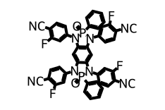 [C-]#[N+]c1ccc(N2c3cc4c(cc3N(c3ccc(C#N)c(F)c3)P2(=O)c2ccccc2)N(c2ccc(C#N)c(F)c2)P(=O)(c2ccccc2)N4c2ccc([N+]#[C-])c(F)c2)cc1F